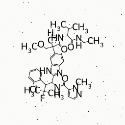 CCNC(=O)C(NC(=O)C(C)(COC)c1ccc2nc(C(NC(=O)c3ccnn3C)C(c3ccccc3Cl)C(C)(C)F)[nH]c2c1)C(C)C